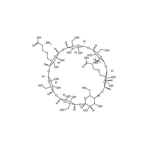 N[C@H](CSCC1O[C@H]2O[C@@H]3C(CO)O[C@@H](O[C@@H]4C(CO)O[C@H](O[C@@H]5C(CO)O[C@@H](O[C@@H]6C(CSC[C@@H](N)C(=O)O)O[C@H](O[C@@H]7C(CO)O[C@@H](O[C@@H]8C(CO)OC(O[C@H]1C(O)[C@@H]2O)C(O)[C@H]8O)C(O)[C@H]7O)C(O)[C@H]6O)C(O)[C@H]5O)[C@@H](O)C4O)[C@@H](O)C3O)C(=O)O